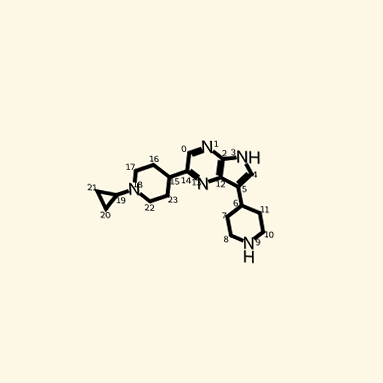 c1nc2[nH]cc(C3CCNCC3)c2nc1C1CCN(C2CC2)CC1